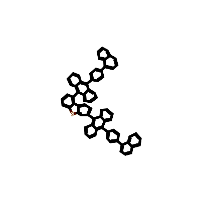 c1ccc2c(-c3ccc(-c4c5ccccc5c(-c5ccc6c(c5)sc5cccc(-c7c8ccccc8c(-c8ccc(-c9cccc%10ccccc9%10)cc8)c8ccccc78)c56)c5ccccc45)cc3)cccc2c1